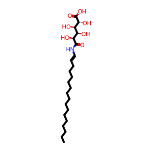 CCCCCCCCCCCCCCC/C=C/NC(=O)[C@@H](O)[C@H](O)[C@@H](O)[C@@H](O)C(=O)O